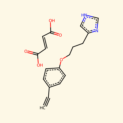 C#Cc1ccc(OCCCc2c[nH]cn2)cc1.O=C(O)C=CC(=O)O